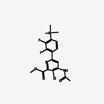 COC(=O)c1nc(-c2ccc([Si](C)(C)C)c(F)c2F)cc(NC(C)=O)c1Cl